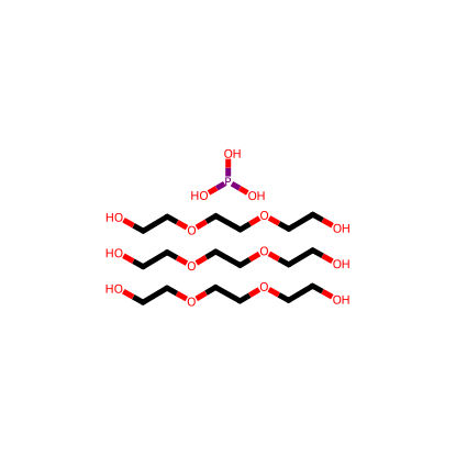 OCCOCCOCCO.OCCOCCOCCO.OCCOCCOCCO.OP(O)O